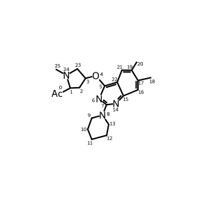 CC(=O)C1CC(Oc2nc(N3CCCCC3)nc3cc(C)c(C)cc23)CN1C